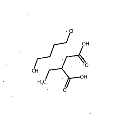 CCC(CC(=O)O)C(=O)O.CCCCCCl